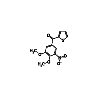 COc1cc(C(=O)c2cccs2)cc([N+](=O)[O-])c1OC